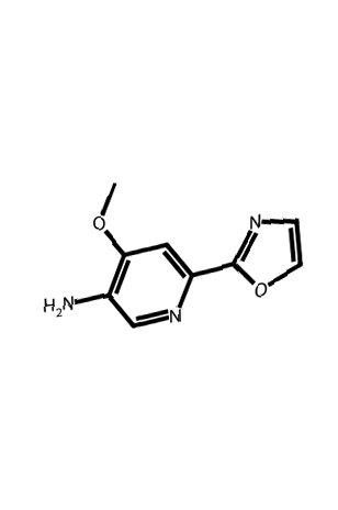 COc1cc(-c2ncco2)ncc1N